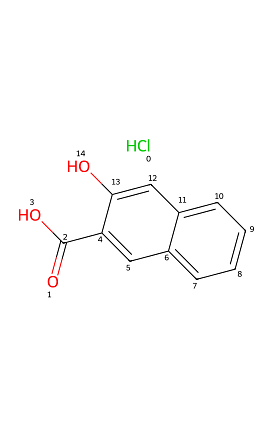 Cl.O=C(O)c1cc2ccccc2cc1O